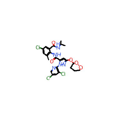 Cc1cc(Cl)cc(C(=O)NC(C)C)c1NC(=O)c1cc(OC2CCCOO2)nn1-c1ncc(Cl)cc1Cl